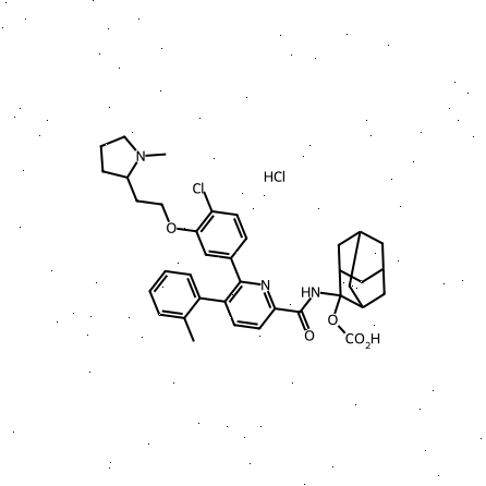 Cc1ccccc1-c1ccc(C(=O)NC2(OC(=O)O)C3CC4CC(C3)CC2C4)nc1-c1ccc(Cl)c(OCCC2CCCN2C)c1.Cl